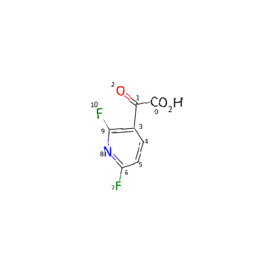 O=C(O)C(=O)c1ccc(F)nc1F